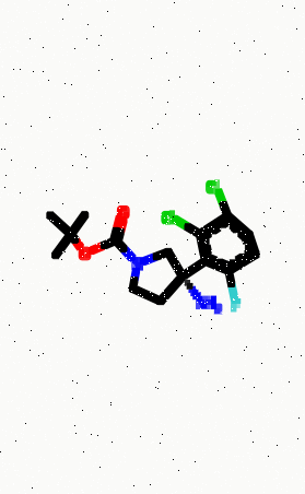 CC(C)(C)OC(=O)N1CC[C@](N)(c2c(F)ccc(Cl)c2Cl)C1